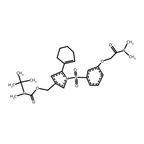 CN(C)C(=O)COc1cccc(S(=O)(=O)n2cc(COC(=O)N(C)C(C)(C)C)cc2C2=CCCCC2)c1